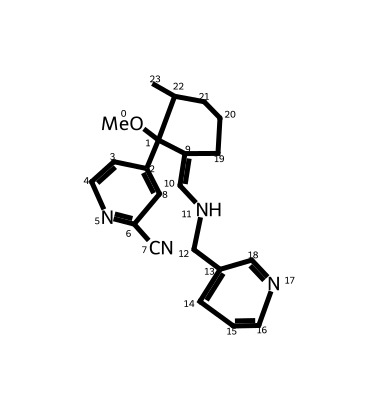 COC1(c2ccnc(C#N)c2)/C(=C/NCc2cccnc2)CCCC1C